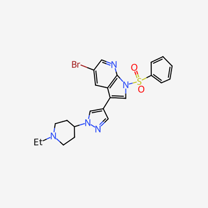 CCN1CCC(n2cc(-c3cn(S(=O)(=O)c4ccccc4)c4ncc(Br)cc34)cn2)CC1